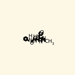 CCn1ncc2c(NC3CCOCC3)c(-c3nc(C(=O)NCc4ccccc4)co3)cnc21